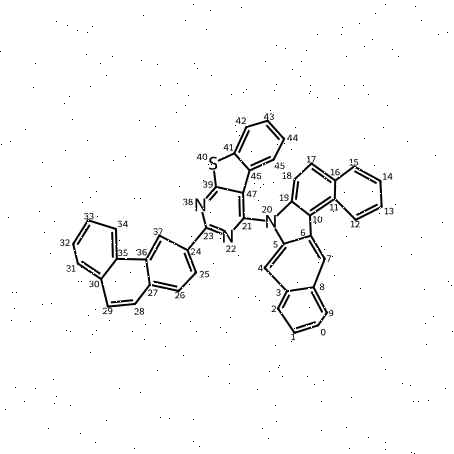 c1ccc2cc3c(cc2c1)c1c2ccccc2ccc1n3-c1nc(-c2ccc3ccc4ccccc4c3c2)nc2sc3ccccc3c12